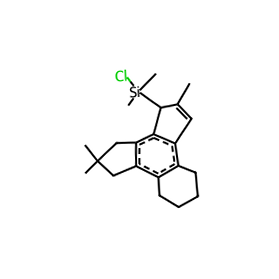 CC1=Cc2c3c(c4c(c2C1[Si](C)(C)Cl)CC(C)(C)C4)CCCC3